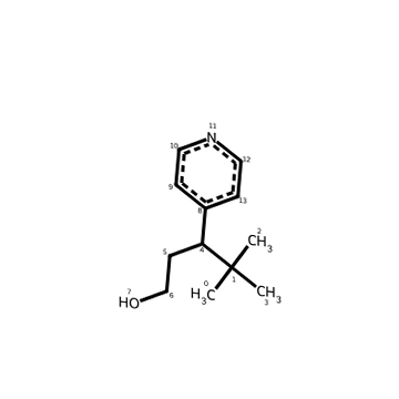 CC(C)(C)C(CCO)c1ccncc1